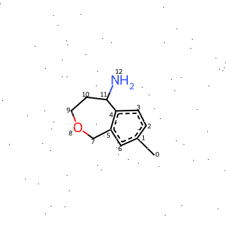 Cc1ccc2c(c1)COCCC2N